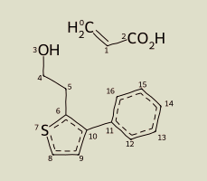 C=CC(=O)O.OCCc1sccc1-c1ccccc1